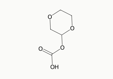 O=C(O)OC1COCCO1